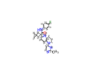 Cc1nccc(N2CCCc3nc(C4(C(=O)Nc5ccc(F)cc5)CC5(CC5)C4)ccc32)n1